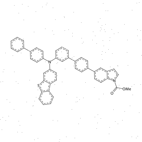 COC(=O)n1ccc2cc(-c3ccc(-c4cccc(N(c5ccc(-c6ccccc6)cc5)c5ccc6c(c5)sc5ccccc56)c4)cc3)ccc21